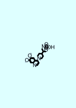 COc1cc2nccc(N3CCC(C(C)CN(C)S(=O)(=O)O)CC3)c2cc1OC